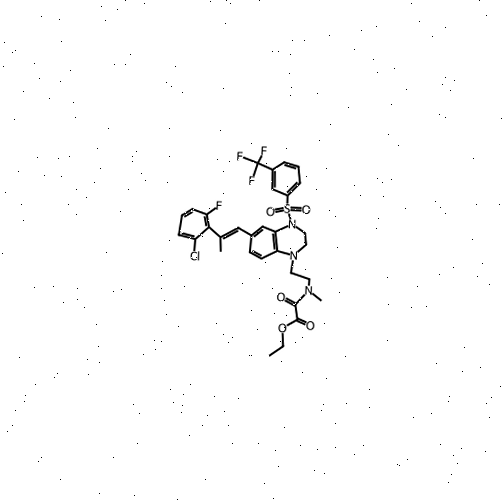 CCOC(=O)C(=O)N(C)CCN1CCN(S(=O)(=O)c2cccc(C(F)(F)F)c2)c2cc(/C=C(\C)c3c(F)cccc3Cl)ccc21